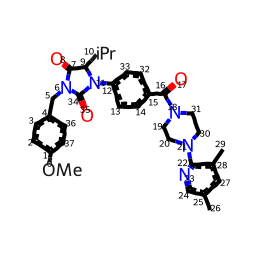 COc1ccc(CN2C(=O)C(C(C)C)N(c3ccc(C(=O)N4CCN(c5ncc(C)cc5C)CC4)cc3)C2=O)cc1